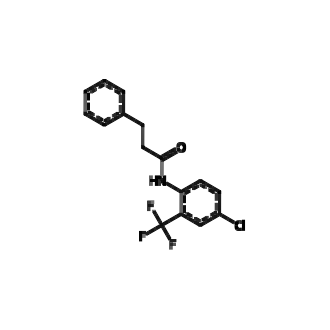 O=C(CCc1ccccc1)Nc1ccc(Cl)cc1C(F)(F)F